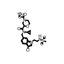 CC(C)(C)OC(=O)N1CCOC(C(=O)N(Cc2ccc3c(Cl)cn(CCNS(C)(=O)=O)c3c2)C2CC2)C1